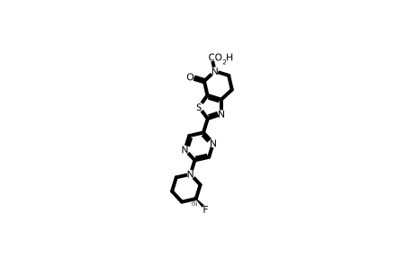 O=C(O)N1CCc2nc(-c3cnc(N4CCC[C@H](F)C4)cn3)sc2C1=O